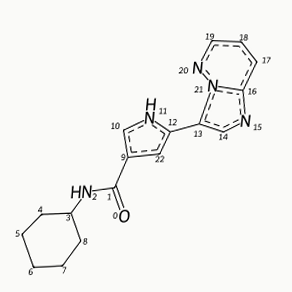 O=C(NC1CCCCC1)c1c[nH]c(-c2cnc3cccnn23)c1